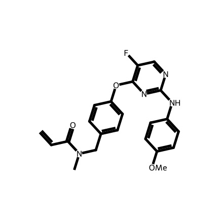 C=CC(=O)N(C)Cc1ccc(Oc2nc(Nc3ccc(OC)cc3)ncc2F)cc1